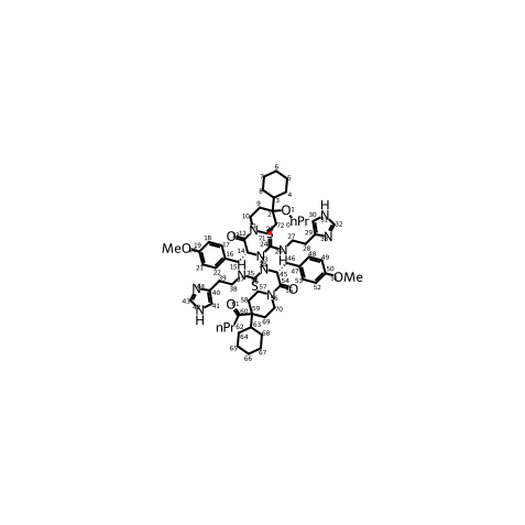 CCCOC1(C2CCCCC2)CCN(C(=O)[C@@H](Cc2ccc(OC)cc2)N(C(=S)NCCc2c[nH]cn2)N(C(=S)NCCc2c[nH]cn2)[C@H](Cc2ccc(OC)cc2)C(=O)N2CCC(C(=O)CCC)(C3CCCCC3)CC2)CC1